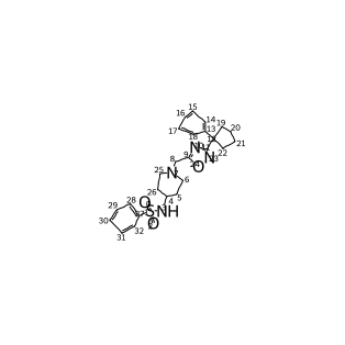 O=S(=O)(NC1CCN(Cc2nc(C3(c4ccccc4)CCCC3)no2)CC1)c1ccccc1